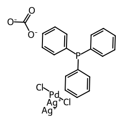 O=C([O-])[O-].[Ag+].[Ag+].[Cl][Pd][Cl].c1ccc(P(c2ccccc2)c2ccccc2)cc1